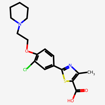 Cc1nc(-c2ccc(OCCN3CCCCC3)c(Cl)c2)sc1C(=O)O